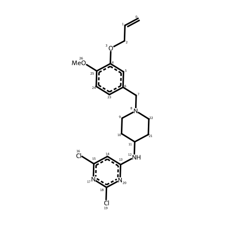 C=CCOc1cc(CN2CCC(Nc3cc(Cl)nc(Cl)n3)CC2)ccc1OC